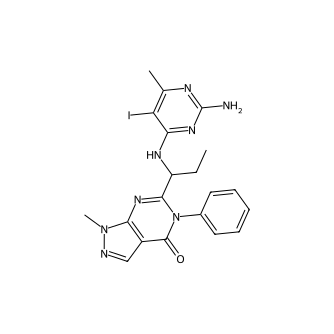 CCC(Nc1nc(N)nc(C)c1I)c1nc2c(cnn2C)c(=O)n1-c1ccccc1